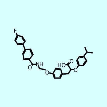 CC(C)c1ccc(OC(Cc2ccc(OCCNC(=O)c3ccc(-c4ccc(F)cc4)cc3)cc2)C(=O)O)cc1